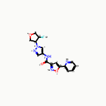 O=C(Nc1cnn(C2COCC2F)c1)c1cc(-c2ccccn2)on1